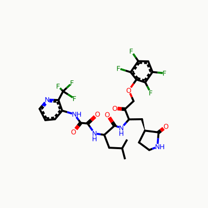 CC(C)CC(NC(=O)C(=O)Nc1cccnc1C(F)(F)F)C(=O)NC(C[C@@H]1CCNC1=O)C(=O)COc1c(F)c(F)cc(F)c1F